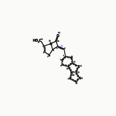 O=C(O)C1=CSC2/C(=C\c3ccc4c(c3)sc3nccn34)C(=O)N12